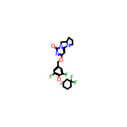 O=c1nc(OCc2cc(F)c(O[C@H]3CCCC(F)(F)C3)c(F)c2)cc2n1CC1CCCN21